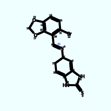 S=c1[nH]c2c([nH]1)=CC(/N=C/c1c(Br)ccc3c1OCO3)CC=2